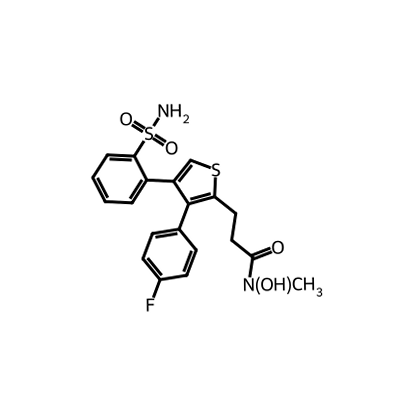 CN(O)C(=O)CCc1scc(-c2ccccc2S(N)(=O)=O)c1-c1ccc(F)cc1